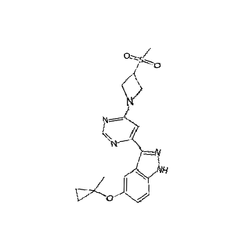 CC1(Oc2ccc3[nH]nc(-c4cc(N5CC(S(C)(=O)=O)C5)ncn4)c3c2)CC1